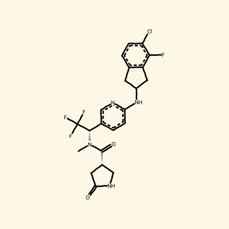 CN(C(=O)[C@@H]1CNC(=O)C1)[C@@H](c1ccc(NC2Cc3ccc(Cl)c(F)c3C2)nc1)C(F)(F)F